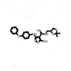 CC1(C)OCC(CNC(=N)c2c(O)nsc2Nc2ccc(Oc3ccccc3)cc2)O1